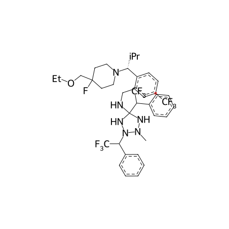 CCOCC1(F)CCN([C@@H](c2ccc(C(F)(F)F)cc2CNC2(C(c3ccccc3)C(F)(F)F)NN(C)N(C(c3ccccc3)C(F)(F)F)N2)C(C)C)CC1